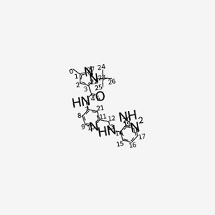 Cc1cc(C(=O)Nc2ccnc(CNc3cccnc3N)c2)n(C(C)(C)C)n1